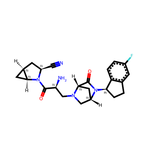 N#C[C@@H]1C[C@@H]2C[C@@H]2N1C(=O)[C@@H](N)CN1C[C@@H]2C[C@H]1C(=O)N2[C@@H]1CCc2cc(F)ccc21